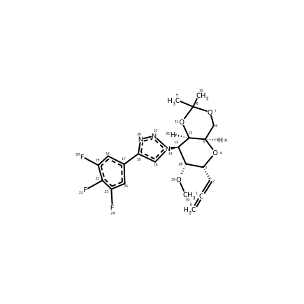 C=C=C[C@H]1O[C@@H]2COC(C)(C)O[C@@H]2[C@H](n2cc(-c3cc(F)c(F)c(F)c3)nn2)[C@H]1OC